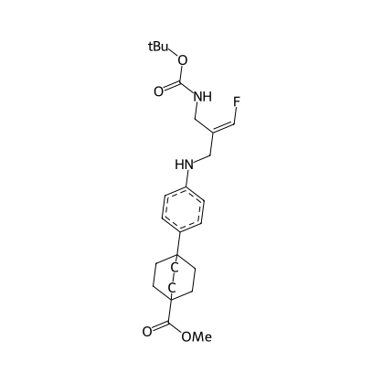 COC(=O)C12CCC(c3ccc(NC/C(=C/F)CNC(=O)OC(C)(C)C)cc3)(CC1)CC2